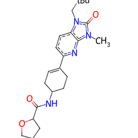 Cn1c(=O)n(CC(C)(C)C)c2ccc(C3=CCC(NC(=O)C4CCCO4)CC3)nc21